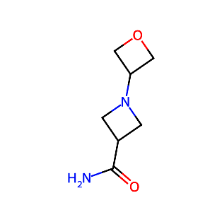 NC(=O)C1CN(C2COC2)C1